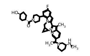 C=C(c1ccc2c(C)c(-c3cc4cc(F)cc(C5CCN(C(=O)[C@H]6CC[C@H](O)CC6)CC5)c4n3CC3CC3)nn2c1)N1CCC[C@@H](NC)C1